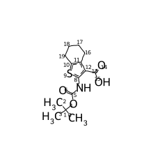 CC(C)(C)OC(=O)Nc1sc2c(c1C(=O)O)CCCC2